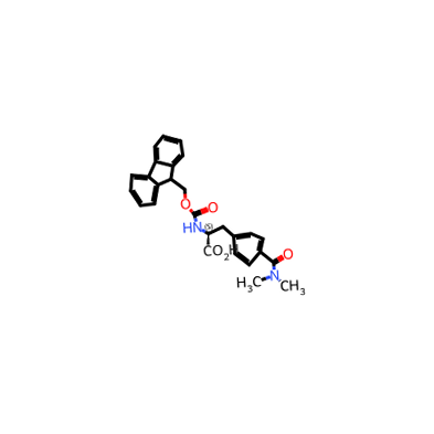 CN(C)C(=O)c1ccc(C[C@H](NC(=O)OCC2c3ccccc3-c3ccccc32)C(=O)O)cc1